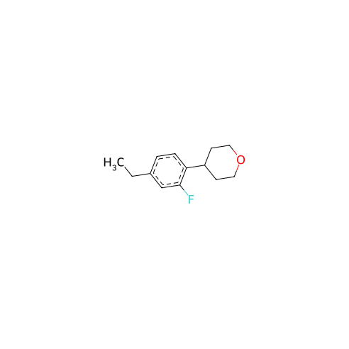 CCc1ccc(C2CCOCC2)c(F)c1